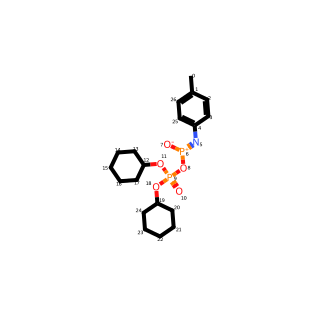 Cc1ccc(/N=[P+](\[O-])OP(=O)(OC2CCCCC2)OC2CCCCC2)cc1